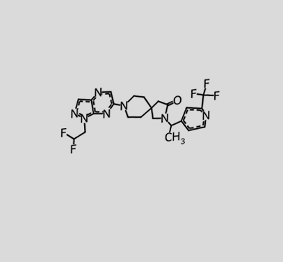 CC(c1ccnc(C(F)(F)F)c1)N1CC2(CCN(c3cnc4cnn(CC(F)F)c4n3)CC2)CC1=O